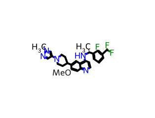 COc1cc2nccc(N[C@H](C)c3cccc(C(F)F)c3F)c2cc1C1CCN(c2cnn(C)c2)CC1